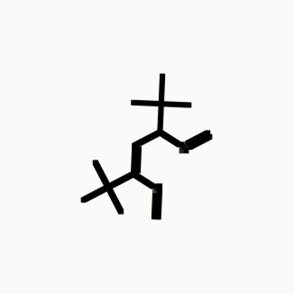 C=N/C(=C\C(N=C)C(C)(C)C)C(C)(C)C